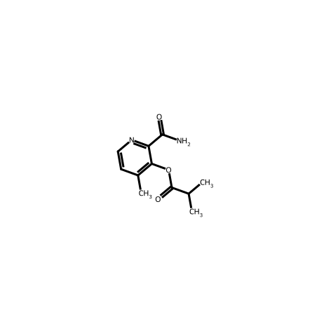 Cc1ccnc(C(N)=O)c1OC(=O)C(C)C